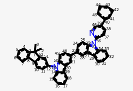 CC1(C)c2ccccc2-c2ccc(-n3c4ccccc4c4cc(-c5ccc6c(c5)c5ccccc5n6-c5ccc(-c6ccccc6)cn5)ccc43)cc21